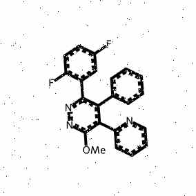 COc1nnc(-c2cc(F)ccc2F)c(-c2ccccc2)c1-c1ccccn1